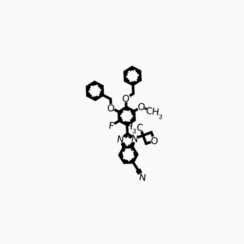 COc1cc(-c2nc3ccc(C#N)cc3n2C2(C)COC2)c(F)c(OCc2ccccc2)c1OCc1ccccc1